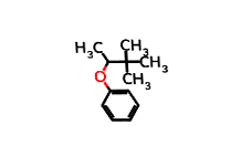 CC(Oc1ccccc1)C(C)(C)C